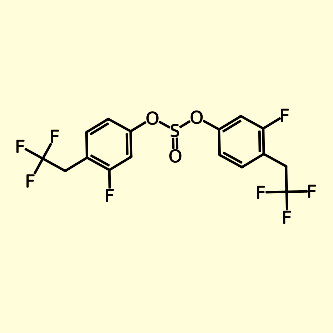 O=S(Oc1ccc(CC(F)(F)F)c(F)c1)Oc1ccc(CC(F)(F)F)c(F)c1